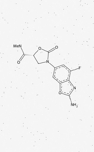 CNC(=O)[C@H]1CN(c2cc(F)c3nc(N)oc3c2)C(=O)O1